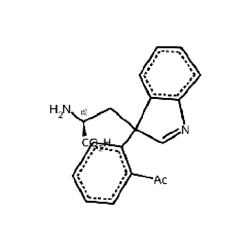 CC(=O)c1ccccc1C1(C[C@H](N)C(=O)O)C=Nc2ccccc21